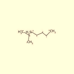 CCCC[SiH2]C(C)C